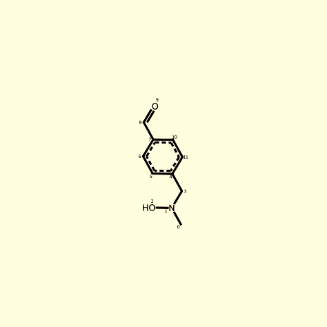 CN(O)Cc1ccc(C=O)cc1